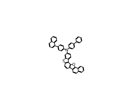 c1ccc(-c2ccc(N(c3ccc(-c4cccc5ccccc45)cc3)c3ccc4c(c3)sc3ccc5c6ccc7ccccc7c6oc5c34)cc2)cc1